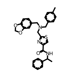 Cc1ccc(CN(Cc2ccc3c(c2)OCO3)Cc2nc(C(=O)NC(C)c3ccccc3)cs2)cc1